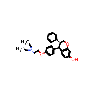 CCN(CC)CCOc1ccc(C2c3ccc(O)cc3OC[C@@H]2c2ccccc2)cc1